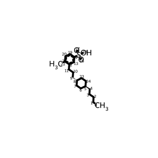 CCCCC[C@H]1CC[C@H](CCCc2cc(S(=O)(=O)O)ccc2C)CC1